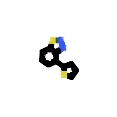 [c]1ccc(-c2cc[c]c3snnc23)s1